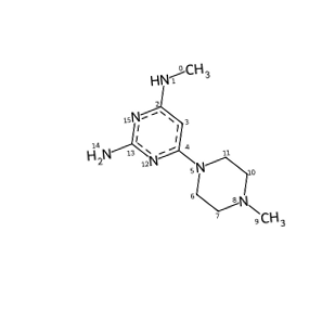 CNc1cc(N2CCN(C)CC2)nc(N)n1